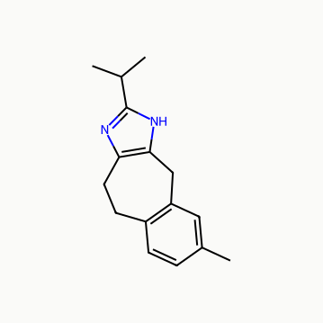 Cc1ccc2c(c1)Cc1[nH]c(C(C)C)nc1CC2